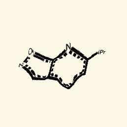 CC(C)c1ccc2cnoc2n1